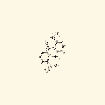 NC(=O)c1nccc(C(=O)c2ccccc2OC(F)(F)F)c1N